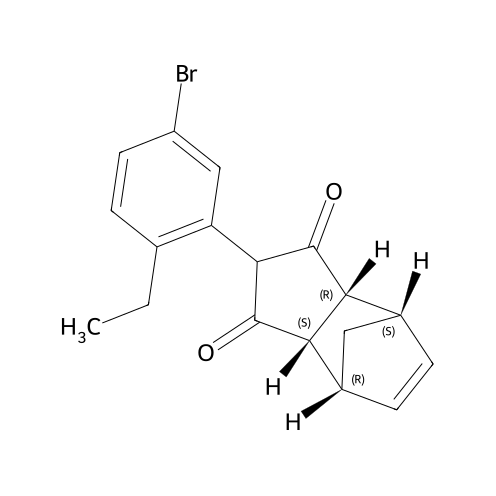 CCc1ccc(Br)cc1C1C(=O)[C@@H]2[C@H](C1=O)[C@@H]1C=C[C@H]2C1